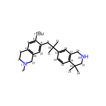 CN1CCc2cc(C(C)(C)C)c(CC(C)(C)c3ccc4c(c3)CNCC4(C)C)cc2C1